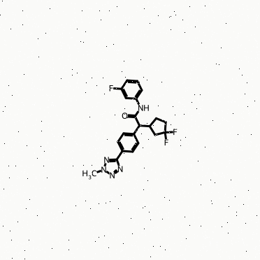 Cn1nnc(-c2ccc(C(C(=O)Nc3cccc(F)c3)C3CCC(F)(F)C3)cc2)n1